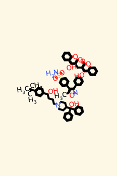 CC(C)(C)c1ccc(C(O)CCCN2CCC(C(O)(c3ccccc3)c3ccccc3)CC2)cc1.Cc1onc(-c2ccccc2)c1-c1ccc(S(N)(=O)=O)cc1.O=c1oc2ccccc2c(O)c1Cc1c(O)c2ccccc2oc1=O